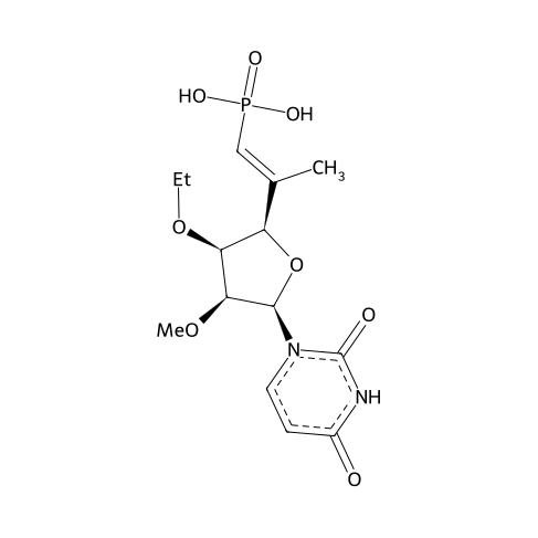 CCO[C@@H]1[C@H](OC)[C@H](n2ccc(=O)[nH]c2=O)O[C@@H]1/C(C)=C/P(=O)(O)O